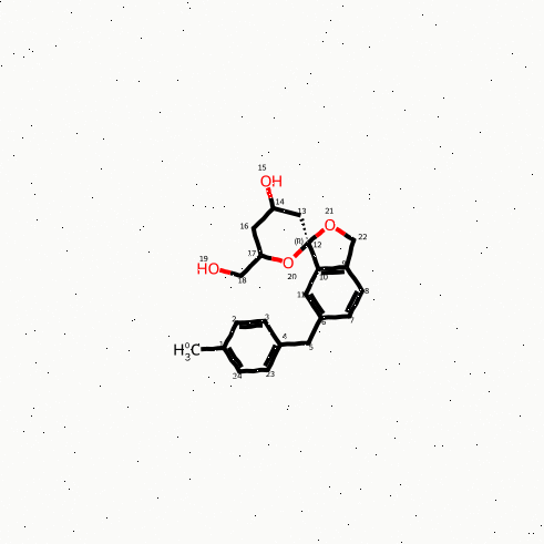 Cc1ccc(Cc2ccc3c(c2)[C@]2(CC(O)CC(CO)O2)OC3)cc1